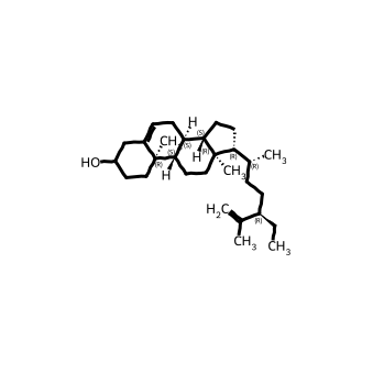 C=C(C)[C@H](CC)CC[C@@H](C)[C@H]1CC[C@H]2[C@@H]3CC=C4CC(O)CC[C@]4(C)[C@H]3CC[C@]12C